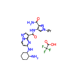 CC(C)n1cc(NC(=O)c2cnn3ccc(N[C@@H]4CCCC[C@@H]4N)nc23)c(C(N)=O)n1.O=C(O)C(F)(F)F